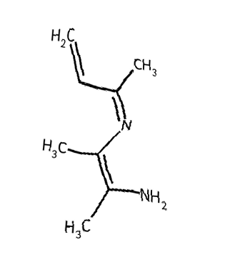 C=C/C(C)=N\C(C)=C(\C)N